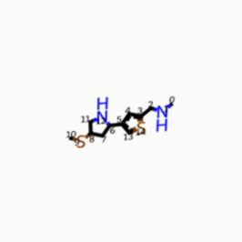 CNCc1cc(C2CC(SC)CN2)cs1